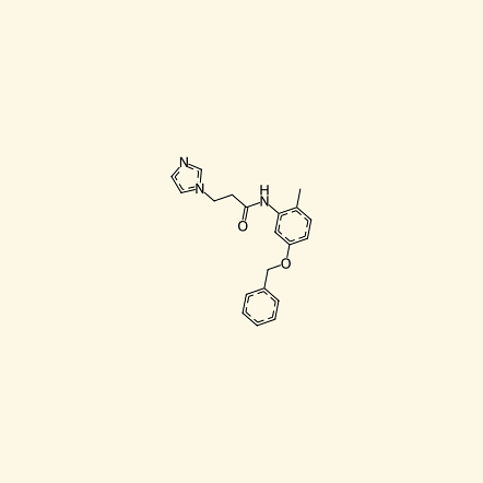 Cc1ccc(OCc2ccccc2)cc1NC(=O)CCn1ccnc1